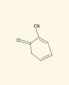 N#CC1=CC=CCC1=O